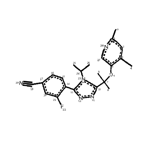 Cc1cc(C)c(OC(C)(C)c2nnc(-c3ccc(C#N)cc3F)n2C(C)C)cn1